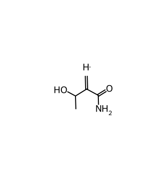 C=C(C(N)=O)C(C)O.[H]